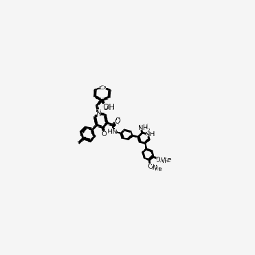 COc1ccc(C2=CNC(N)C(c3ccc(NC(=O)c4cn(CC5(O)CCOCC5)cc(-c5ccc(C)cc5)c4=O)cc3)=C2)cc1OC